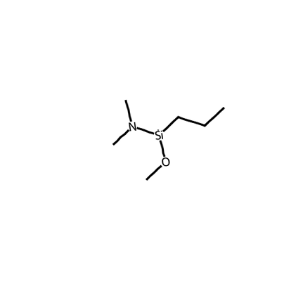 CCC[Si](OC)N(C)C